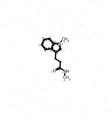 CNC(=O)CCc1cn(C)c2ccccc12